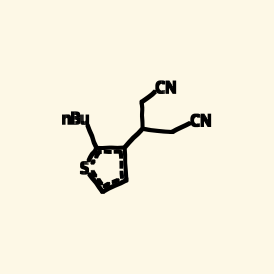 CCCCc1sccc1C(CC#N)CC#N